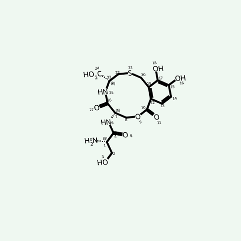 N[C@@H](CO)C(=O)N[C@H]1COC(=O)c2ccc(O)c(O)c2CSC[C@@H](C(=O)O)NC1=O